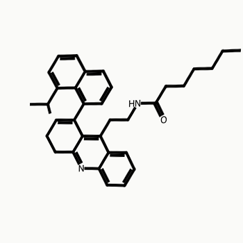 CCCCCCC(=O)NCCc1c2c(nc3ccccc13)CCC=C2c1cccc2cccc(C(C)C)c12